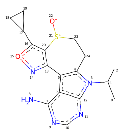 CC(C)n1c2c(c3c(N)ncnc31)-c1noc(C3CC3)c1[S+]([O-])CC2